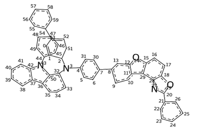 C1=CC(N(c2ccc(-c3ccc4c(c3)oc3ccc5oc(-c6ccccc6)nc5c34)cc2)c2cccc3c4ccccc4n(-c4ccccc4)c23)CC=C1c1ccccc1